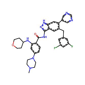 CN1CCN(c2ccc(C(=O)Nc3n[nH]c4cc(-c5cncnc5)c(Cc5cc(F)cc(F)c5)cc34)c(NC3CCOCC3)c2)CC1